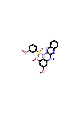 COc1cc(Nc2nc3ccccc3nc2NS(=O)(=O)c2cccc(OC)c2)cc(OC)c1